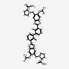 Cc1c(-c2nc3cc(CN4CCC[C@H]4C(N)=O)c(OC(F)F)cc3o2)cccc1-c1cccc(-c2nc3cc(CN4CCC[C@H]4C(=O)O)c(OC(F)F)cc3o2)c1C